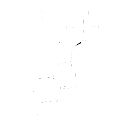 CC(C)OC[C@H]1O[C@@H](n2ccc(=O)[nH]c2=O)[C@](C)(O)[C@@H]1O[Si](O)(C(C)C)C(C)C